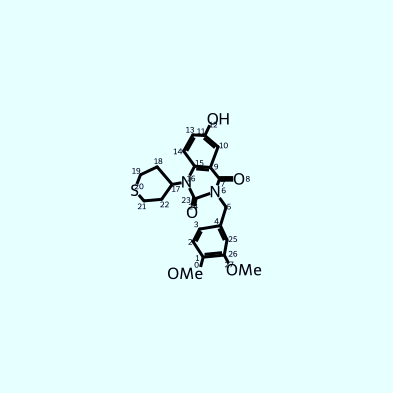 COc1ccc(Cn2c(=O)c3cc(O)ccc3n(C3CCSCC3)c2=O)cc1OC